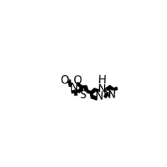 COCCN1C(=O)c2cc(-c3ccnc(Nc4cc(C)nn4C)c3)sc2C1(C)C